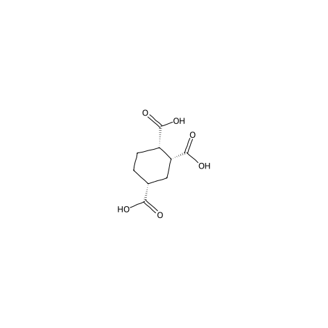 O=C(O)[C@@H]1CC[C@H](C(=O)O)[C@H](C(=O)O)C1